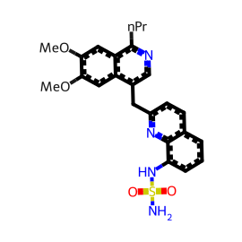 CCCc1ncc(Cc2ccc3cccc(NS(N)(=O)=O)c3n2)c2cc(OC)c(OC)cc12